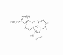 CCOC(=O)c1n[nH]c2c1C=CC(c1ccccc1)(c1cscn1)C2